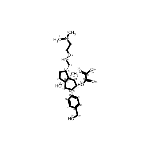 CN(C)CCONC[C@H]1CC[C@]2(O)C[C@@H](c3ccc(CO)cc3)CC[C@]12C.O=C(O)C(=O)O